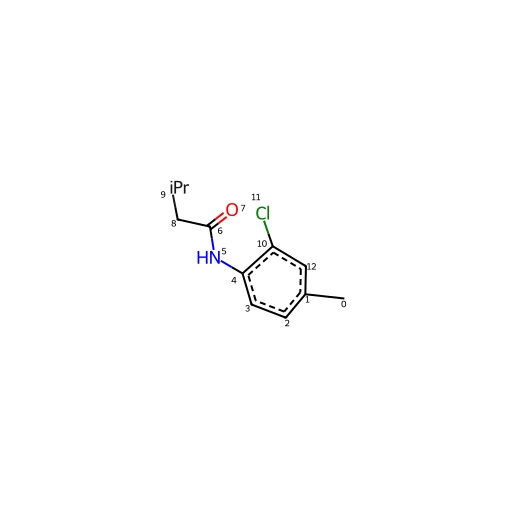 Cc1ccc(NC(=O)CC(C)C)c(Cl)c1